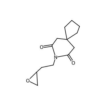 O=C1CC2(CCCC2)CC(=O)N1CCC1CO1